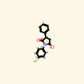 O=C1CC(c2ccccc2)C(=O)N1c1ccc(F)cc1